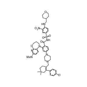 CNc1ccc2c(n1)OCCCN2c1cc(N2CCN(CC3=C(c4ccc(Cl)cc4)CC(C)(C)CC3)CC2)ccc1C(=O)NS(=O)(=O)c1ccc(NCC2CCOCC2)c([N+](=O)[O-])c1